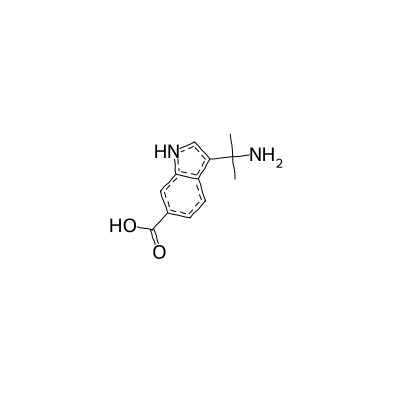 CC(C)(N)c1c[nH]c2cc(C(=O)O)ccc12